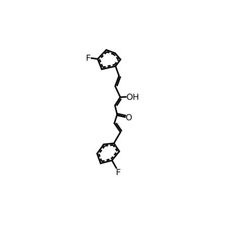 O=C(/C=C(O)/C=C/c1cccc(F)c1)/C=C/c1cccc(F)c1